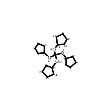 C1CCC(OC(OC2CCCC2)(OC2CCCC2)OC2CCCC2)C1